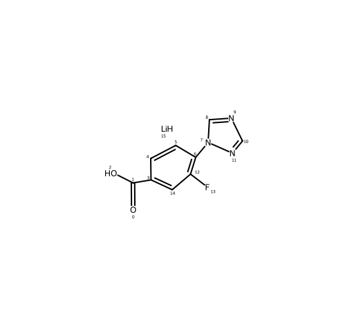 O=C(O)c1ccc(-n2cncn2)c(F)c1.[LiH]